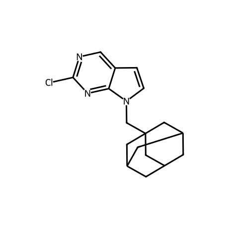 Clc1ncc2ccn(CC34CC5CC(CC(C5)C3)C4)c2n1